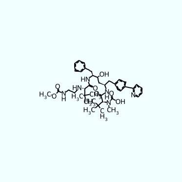 COC(=O)NCCN[C@H](C(=O)N[C@@H](Cc1ccccc1)[C@@H](O)C[C@@H](Cc1ccc(-c2ccccn2)cc1)NC(=O)[C@@H](N(C)C(=O)O)C(C)(C)C)C(C)(C)C